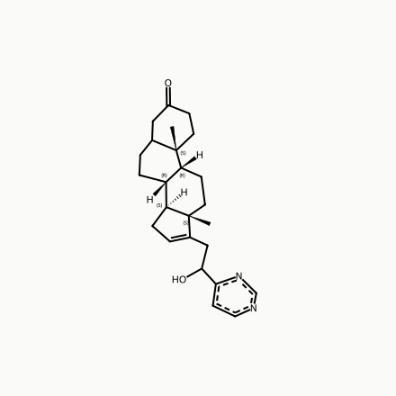 C[C@]12CCC(=O)CC1CC[C@@H]1[C@H]2CC[C@]2(C)C(CC(O)c3ccncn3)=CC[C@@H]12